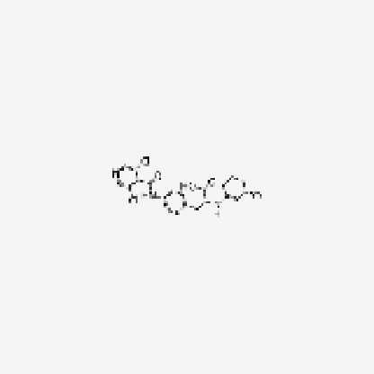 O=C1C=C(N[C@@H](Cc2ccc(NC(=O)c3c(Cl)cncc3Cl)cc2)C(=O)O)CCC1